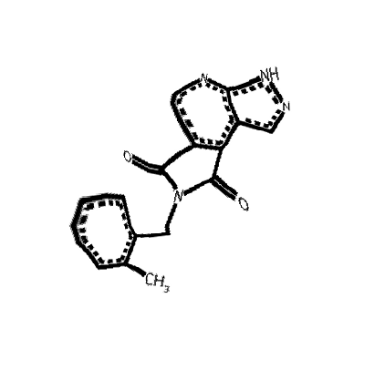 Cc1ccccc1CN1C(=O)c2cnc3[nH]ncc3c2C1=O